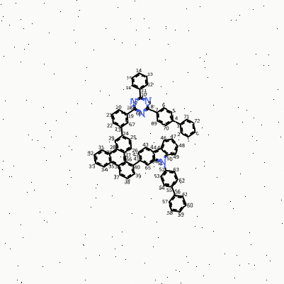 c1ccc(-c2ccc(-c3nc(-c4ccccc4)nc(-c4cccc(-c5ccc6c(c5)c5ccccc5c5cccc(-c7ccc8c9ccccc9n(-c9ccc(-c%10ccccc%10)cc9)c8c7)c56)c4)n3)cc2)cc1